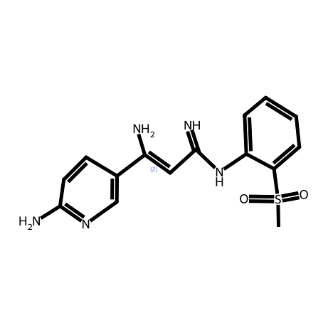 CS(=O)(=O)c1ccccc1NC(=N)/C=C(\N)c1ccc(N)nc1